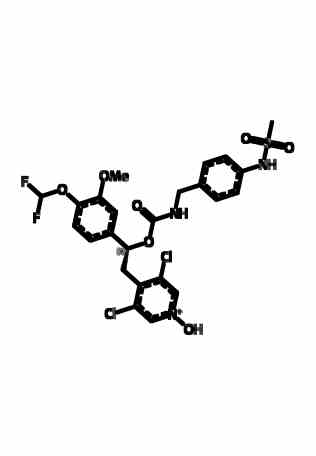 COc1cc([C@H](Cc2c(Cl)c[n+](O)cc2Cl)OC(=O)NCc2ccc(NS(C)(=O)=O)cc2)ccc1OC(F)F